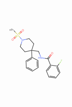 CCCS(=O)(=O)N1CCC(CNC(=O)c2ccccc2F)(c2ccccc2)CC1